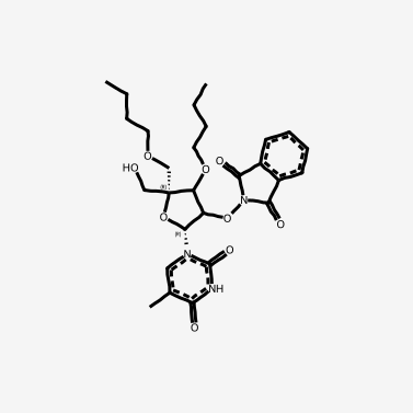 CCCCOC[C@@]1(CO)O[C@@H](n2cc(C)c(=O)[nH]c2=O)C(ON2C(=O)c3ccccc3C2=O)C1OCCCC